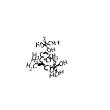 C=CC.CC.CCC.OP(O)(O)=S.OP(O)(O)=S